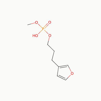 COP(=O)(O)OCCCc1ccoc1